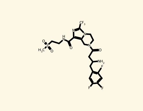 CS(=O)(=O)CCNC(=O)c1nc(C(F)(F)F)n2c1CN(C(=O)CC(N)Cc1cc(F)c(F)cc1F)CC2